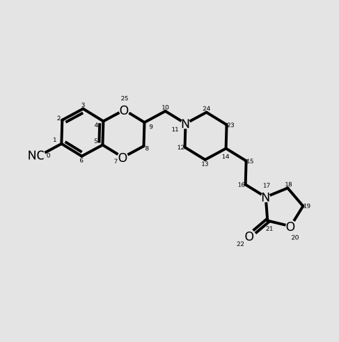 N#Cc1ccc2c(c1)OCC(CN1CCC(CCN3CCOC3=O)CC1)O2